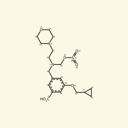 O=C(O)c1cc(CN(CCN2CCOCC2)CO[SH](=O)=O)cc(OCC2CC2)c1